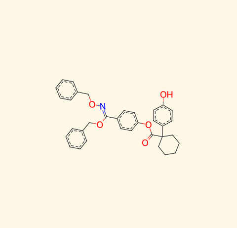 O=C(Oc1ccc(C(=NOCc2ccccc2)OCc2ccccc2)cc1)C1(c2ccc(O)cc2)CCCCC1